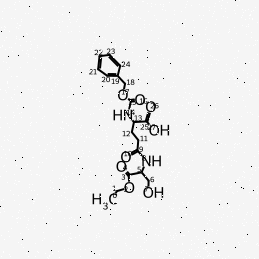 CCOC(=O)C(CO)NC(=O)CCC(NC(=O)OCc1ccccc1)C(=O)O